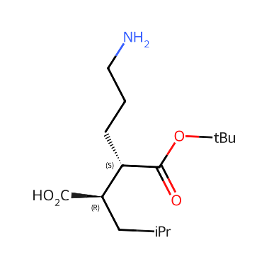 CC(C)C[C@@H](C(=O)O)[C@H](CCCN)C(=O)OC(C)(C)C